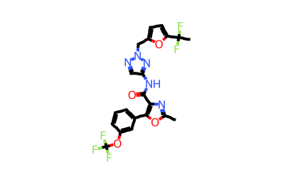 Cc1nc(C(=O)Nc2cnn(Cc3ccc(C(C)(F)F)o3)n2)c(-c2cccc(OC(F)(F)F)c2)o1